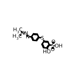 CN(C)/N=N/c1ccc(Sc2ccc(O)c(S(=O)(=O)O)c2)cc1